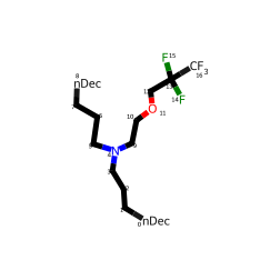 CCCCCCCCCCCCCN(CCCCCCCCCCCCC)CCOCC(F)(F)C(F)(F)F